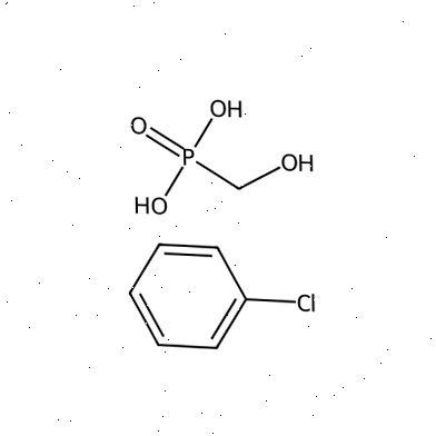 Clc1ccccc1.O=P(O)(O)CO